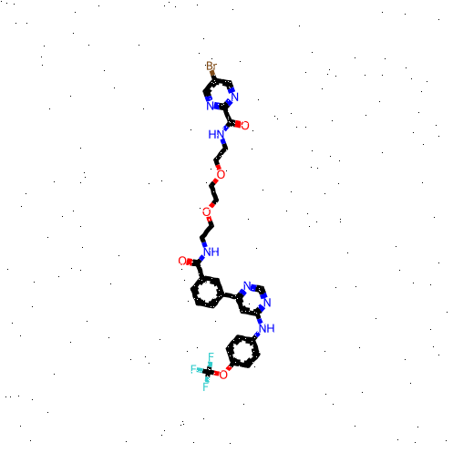 O=C(NCCOCCOCCNC(=O)c1ncc(Br)cn1)c1cccc(-c2cc(Nc3ccc(OC(F)(F)F)cc3)ncn2)c1